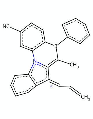 C=C/C=c1\c2n(c3ccccc13)-c1cc(C#N)ccc1B(c1ccccc1)C=2C